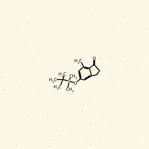 Cc1cc(O[Si](C)(C)C(C)(C)C)cc2c1C(=O)CC2